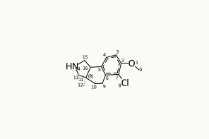 COc1ccc2c(c1Cl)CC[C@@]1(C)CNCC21